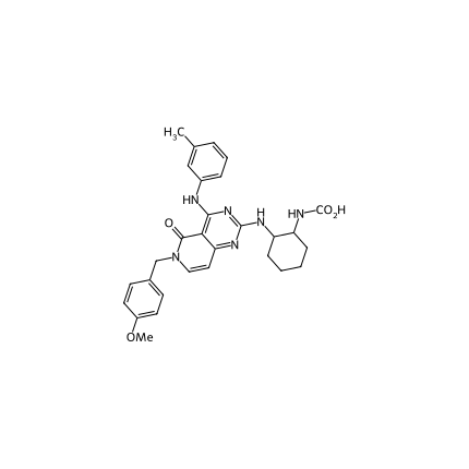 COc1ccc(Cn2ccc3nc(NC4CCCCC4NC(=O)O)nc(Nc4cccc(C)c4)c3c2=O)cc1